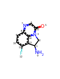 NC1Cn2c(=O)cnc3ccc(F)c1c32